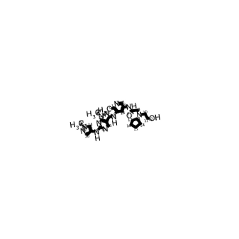 Cc1ncc(NC(=O)CN(CCO)C2CCCC2)cc1Nc1nn(C)c2nc(Nc3cnn(C)c3)ncc12